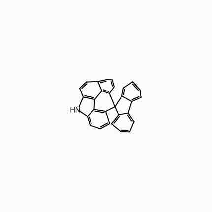 c1ccc2c(c1)-c1ccccc1C21c2cccc3ccc4[nH]c5cccc1c5c4c23